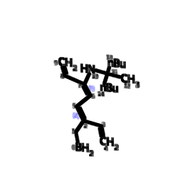 BC/C(C=C)=C/C=C(\C=C)NC(C)(CCCC)CCCC